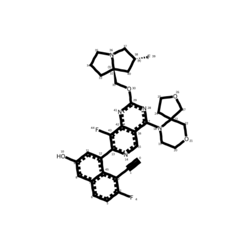 C#Cc1c(F)ccc2cc(O)cc(-c3ncc4c(N5CCOCC56CCOC6)nc(OC[C@@]56CCCN5C[C@H](F)C6)nc4c3F)c12